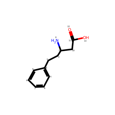 NC(CCc1ccccc1)CC(=O)O